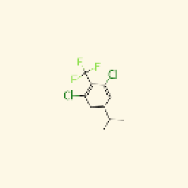 CC(C)c1cc(Cl)c(C(F)(F)F)c(Cl)c1